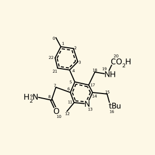 Cc1ccc(-c2c(CC(N)=O)c(C)nc(CC(C)(C)C)c2CNC(=O)O)cc1